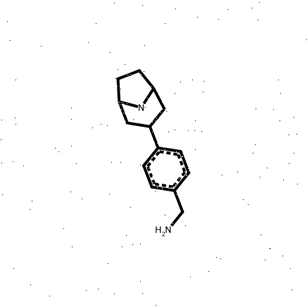 NCc1ccc(C2CC3CCC(C2)[N]3)cc1